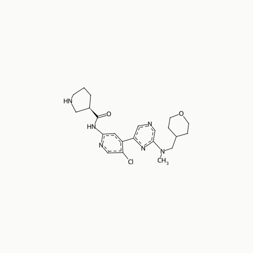 CN(CC1CCOCC1)c1cncc(-c2cc(NC(=O)[C@@H]3CCCNC3)ncc2Cl)n1